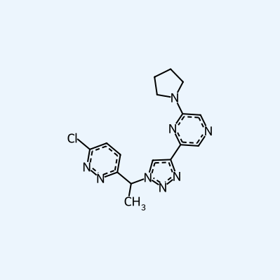 CC(c1ccc(Cl)nn1)n1cc(-c2cncc(N3CCCC3)n2)nn1